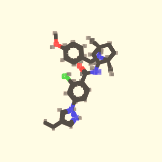 CCc1cnn(-c2ccc(C(=O)NC3C[C@@H]4CC[C@H]3N4Cc3ccc(OC)cc3)c(Cl)c2)c1